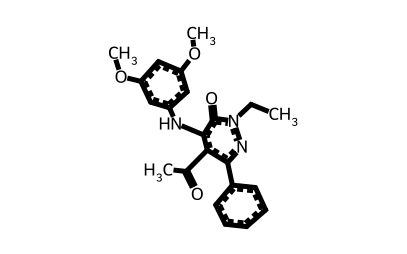 CCn1nc(-c2ccccc2)c(C(C)=O)c(Nc2cc(OC)cc(OC)c2)c1=O